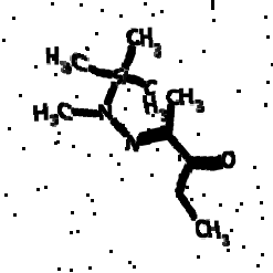 CCC(=O)C(C)=NN(C)[Si](C)(C)C